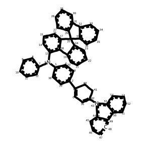 C1=C(c2ccc(N(c3ccccc3)c3cccc4c3-c3ccccc3C43c4ccccc4-c4ccccc43)cc2)CCC(n2c3ccccc3c3ccccc32)=C1